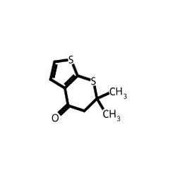 CC1(C)CC(=O)c2ccsc2S1